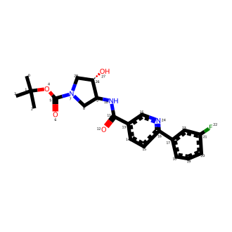 CC(C)(C)OC(=O)N1CC(NC(=O)c2ccc(-c3cccc(F)c3)nc2)[C@@H](O)C1